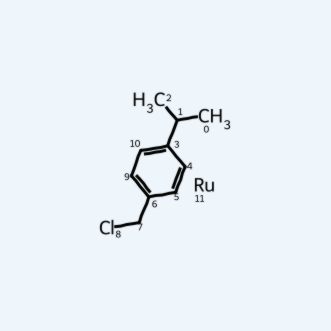 CC(C)c1ccc(CCl)cc1.[Ru]